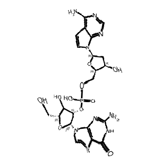 Nc1nc2c(ncn2[C@@H]2O[C@H](CO)C(O)[C@@H]2OP(=O)(O)OC[C@H]2O[C@@H](n3ccc4c(N)ncnc43)C[C@H]2O)c(=O)[nH]1